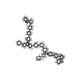 c1ccc(-c2ccc3c(c2)c2cc(-c4cccc(-c5ccc(-c6ccc7c8ccc(-c9ccccc9)cc8n(-c8ccc(-c9ccc(-c%10ccc(-c%11cccc%12c%11sc%11ccccc%11%12)cc%10)cc9)cc8)c7c6)cc5)c4)ccc2n3-c2ccc(-c3ccc(-c4cccc5sc6ccccc6c45)cc3)cc2)cc1